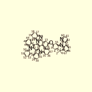 CC1(C)c2ccc(Oc3ccc4c(c3)c3nc5ccccc5n3c3c4c4c(c5ccccc5n4-c4ccccc4)c4c3c3ccccc3n4-c3ccccc3)cc2-n2c3ncccc3c3cccc1c32